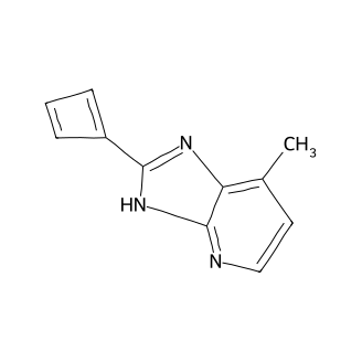 Cc1ccnc2[nH]c(C3=CC=C3)nc12